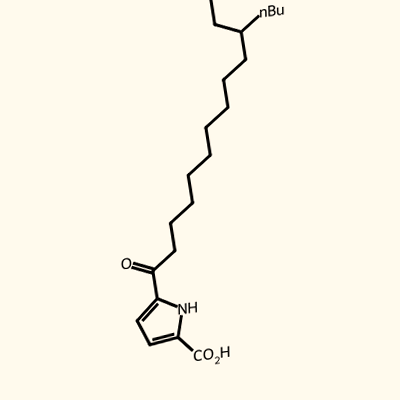 CCCCC(CCCCCCCCCC(=O)c1ccc(C(=O)O)[nH]1)CCC(C)C